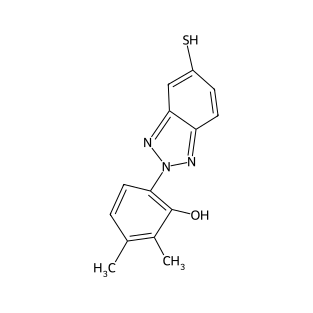 Cc1ccc(-n2nc3ccc(S)cc3n2)c(O)c1C